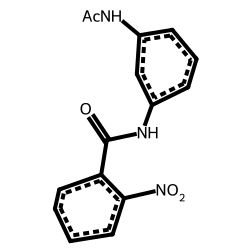 CC(=O)Nc1cccc(NC(=O)c2ccccc2[N+](=O)[O-])c1